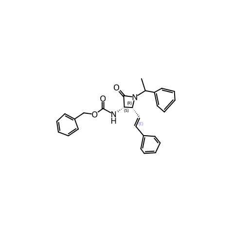 CC(c1ccccc1)N1C(=O)[C@@H](NC(=O)OCc2ccccc2)[C@H]1/C=C/c1ccccc1